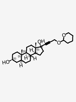 C[C@]12CC[C@H](O)C[C@@H]1CC[C@@H]1[C@@H]2CC[C@@]2(C)[C@H]1CC[C@@]2(O)C#CCOC1CCCCO1